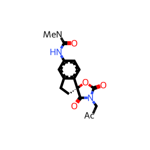 CNC(=O)Nc1ccc2c(c1)CC[C@@]21OC(=O)N(CC(C)=O)C1=O